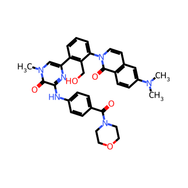 CN(C)c1ccc2c(=O)n(-c3cccc(-c4cn(C)c(=O)c(Nc5ccc(C(=O)N6CCOCC6)cc5)n4)c3CO)ccc2c1